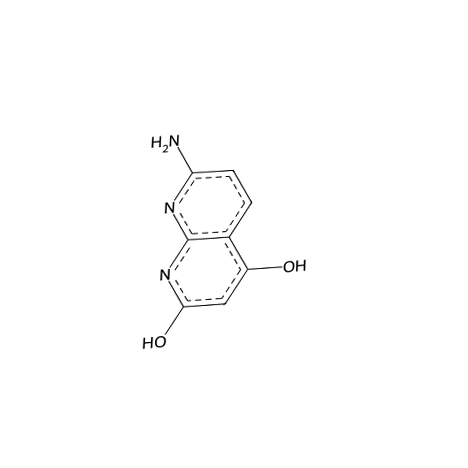 Nc1ccc2c(O)cc(O)nc2n1